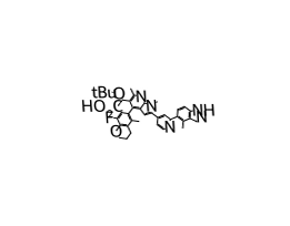 Cc1nc2c(cc(-c3ccnc(-c4ccc5[nH]ncc5c4C)c3)n2C)c(-c2cc(F)c3c(c2C)CCCO3)c1[C@H](OC(C)(C)C)C(=O)O